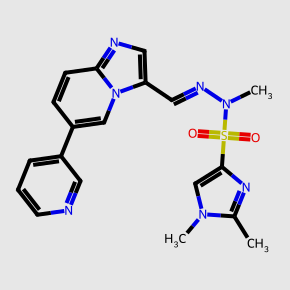 Cc1nc(S(=O)(=O)N(C)/N=C/c2cnc3ccc(-c4cccnc4)cn23)cn1C